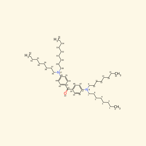 CCCCCCCCN(CCCCCCCC)c1ccc(C(=O)c2ccc(N(CCCCCCCC)CCCCCCCC)cc2)cc1